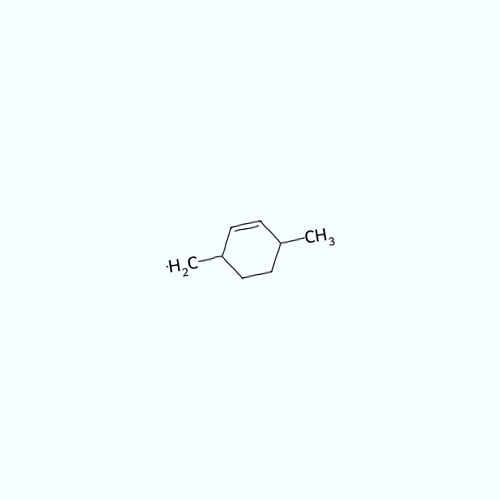 [CH2]C1C=CC(C)CC1